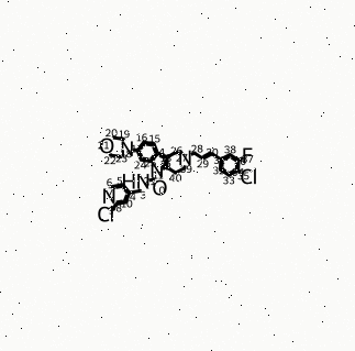 O=C(NCc1ccnc(Cl)c1)n1c2c(c3ccc(N4CCOCC4)cc31)CN(C/C=C/c1ccc(Cl)c(F)c1)CC2